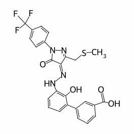 CSCC1=NN(c2ccc(C(F)(F)F)cc2)C(=O)/C1=N\Nc1cccc(-c2cccc(C(=O)O)c2)c1O